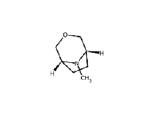 CN1[C@@H]2CC[C@H]1COC2